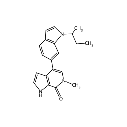 CCC(C)n1ccc2ccc(-c3cn(C)c(=O)c4[nH]ccc34)cc21